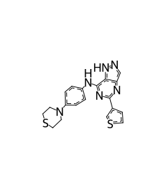 c1cc(-c2nc(Nc3ccc(N4CCSCC4)cc3)c3[nH]ncc3n2)cs1